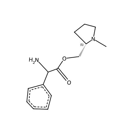 CN1CCC[C@H]1COC(=O)C(N)c1ccccc1